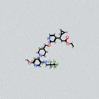 CCOC(=O)CC(c1ccnc(OCC2CCN(c3cc(OC)ncc3NCC(F)(F)C(F)(F)F)CC2)c1)C1CC1